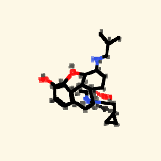 CC(C)CNC1CC[C@@]2(O)[C@H]3Cc4ccc(O)c5c4[C@@]2(CCN3CC2CC2)C1O5